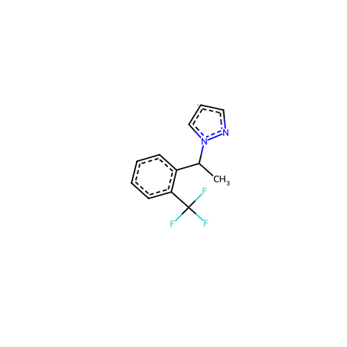 CC(c1ccccc1C(F)(F)F)n1c[c]cn1